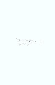 CCCc1c2oc(=O)cc(C)c2cc2c(=O)cc(OC(=O)O)oc12